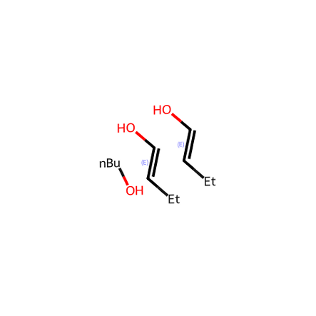 CC/C=C/O.CC/C=C/O.CCCCO